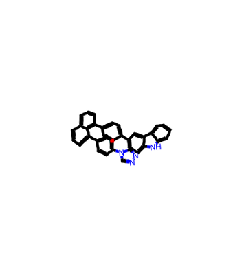 c1cc(-c2ccc(-c3ccc4[nH]c5ccccc5c4c3)cc2)c2c(-c3ccc(-n4cnnc4)cc3)cccc2c1